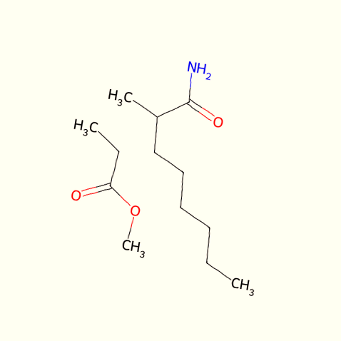 CCC(=O)OC.CCCCCCC(C)C(N)=O